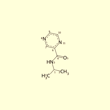 CC(C)NC(=O)c1cnccn1